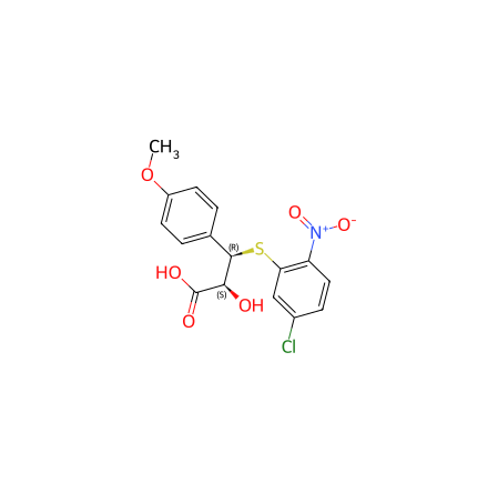 COc1ccc([C@@H](Sc2cc(Cl)ccc2[N+](=O)[O-])[C@@H](O)C(=O)O)cc1